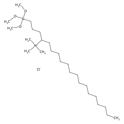 CCCCCCCCCCCCCCCC(CCC[Si](OC)(OC)OC)[N+](C)(C)C.[Cl-]